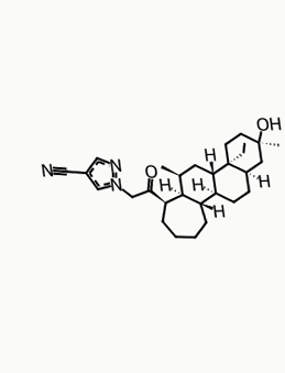 CC[C@]12CC[C@@](C)(O)C[C@H]1CC[C@H]1[C@@H]3CCCC[C@@H](C(=O)Cn4cc(C#N)cn4)[C@H]3[C@@H](C)C[C@@H]12